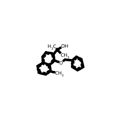 Cc1cccc2ccc(C(C)(C)O)c(OCc3ccccc3)c12